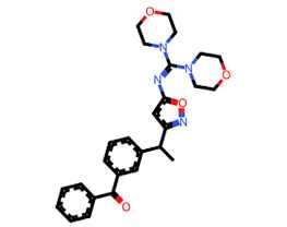 CC(c1cccc(C(=O)c2ccccc2)c1)c1cc(N=C(N2CCOCC2)N2CCOCC2)on1